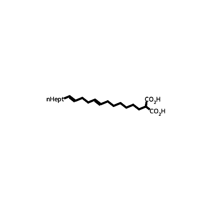 CCCCCCCC=CCCC=CCCCCCCC(C(=O)O)C(=O)O